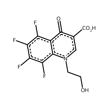 O=C(O)c1cn(CCO)c2c(F)c(F)c(F)c(F)c2c1=O